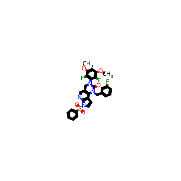 COc1cc(OC)c(F)c(N2Cc3cnc4c(ccn4S(=O)(=O)c4ccccc4)c3N(Cc3cccc(F)c3)C2=O)c1F